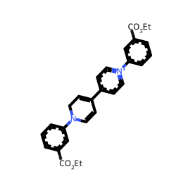 CCOC(=O)c1cccc(N2C=CC(c3cc[n+](-c4cccc(C(=O)OCC)c4)cc3)=CC2)c1